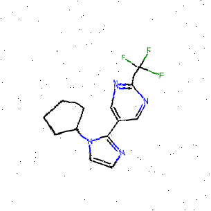 FC(F)(F)c1ncc(-c2nccn2C2CCCC2)cn1